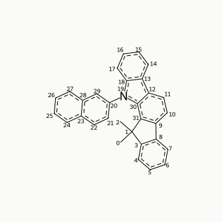 CC1(C)c2ccccc2-c2ccc3c4ccccc4n(-c4ccc5ccccc5c4)c3c21